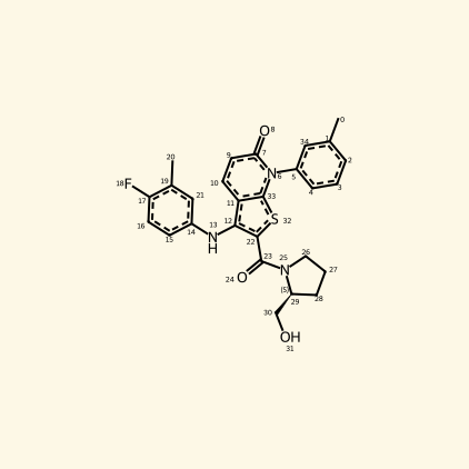 Cc1cccc(-n2c(=O)ccc3c(Nc4ccc(F)c(C)c4)c(C(=O)N4CCC[C@H]4CO)sc32)c1